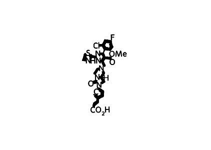 COC(=O)C1=C(CN2CCN3C(=O)N(c4ccc(/C=C/C(=O)O)cc4)C[C@@H]3C2)NC(c2nccs2)=N[C@H]1c1ccc(F)cc1Cl